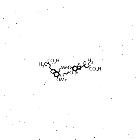 COc1cc2sc(CC[C@H](C)C(=O)O)cc2c(F)c1OCCCOc1c(OC)cc2sc(C(=O)C[C@H](C)C(=O)O)cc2c1F